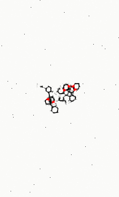 N#Cc1ccc2c(c1)c1ccccc1n2-c1cnc2c(c1)C1(c3ccc(-n4c5ccccc5c5ccccc54)cc3Oc3cccc(-n4c5ccccc5c5ccccc54)c31)c1cccnc1-2